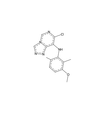 COc1ccc(C)c(Nc2c(Cl)ncn3cnnc23)c1C